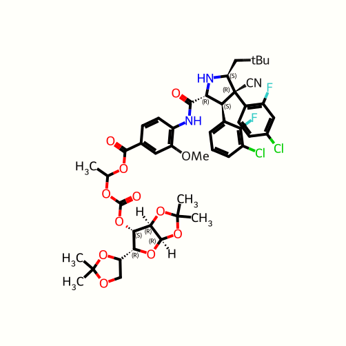 COc1cc(C(=O)OC(C)OC(=O)O[C@@H]2[C@H]3OC(C)(C)O[C@H]3O[C@@H]2C2COC(C)(C)O2)ccc1NC(=O)[C@@H]1N[C@@H](CC(C)(C)C)[C@](C#N)(c2ccc(Cl)cc2F)[C@H]1c1cccc(Cl)c1F